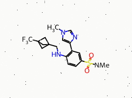 CNS(=O)(=O)c1ccc(NCC23CC(C(F)(F)F)(C2)C3)c(-c2cn(C)cn2)c1